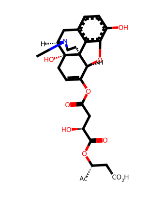 CC(=O)[C@@H](CC(=O)O)OC(=O)[C@@H](O)CC(=O)OC1=CC[C@@]2(O)[C@H]3Cc4ccc(O)c5c4[C@@]2(CCN3C)[C@H]1O5